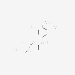 C=C(/N=C(Cl)\N=C/N)Nc1cc(O)c(OC)c(OC)c1